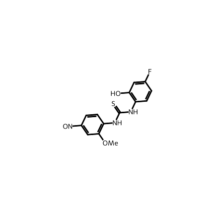 COc1cc(N=O)ccc1NC(=S)Nc1ccc(F)cc1O